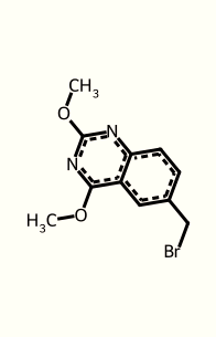 COc1nc(OC)c2cc(CBr)ccc2n1